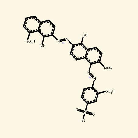 CCS(=O)(=O)c1ccc(/N=N/c2c(NC)ccc3c(O)c(/N=N/c4ccc5cccc(S(=O)(=O)O)c5c4O)ccc23)c(S(=O)(=O)O)c1